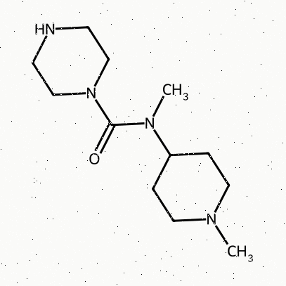 CN1CCC(N(C)C(=O)N2CCNCC2)CC1